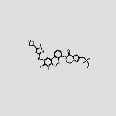 CCC(C)(C)Cc1cc2n(c1)CCN(c1nccc(-c3cc(Nc4cc(C5COC5)[nH]n4)c(=O)n(C)c3)c1CO)C2=O